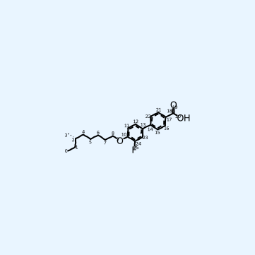 CC[C@H](C)CCCCCOc1ccc(-c2ccc(C(=O)O)cc2)cc1F